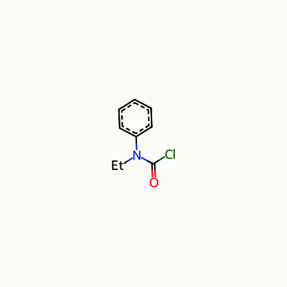 CCN(C(=O)Cl)c1ccccc1